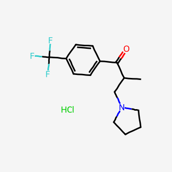 CC(CN1CCCC1)C(=O)c1ccc(C(F)(F)F)cc1.Cl